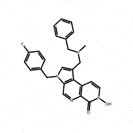 CN(Cc1ccccc1)Cc1cn(Cc2ccc(F)cc2)c2cnc3c(=O)n(O)ccc3c12